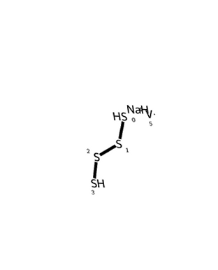 SSSS.[NaH].[V]